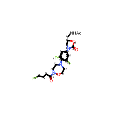 CC(=O)NC[C@H]1CN(c2cc(F)c(N3CCON(C(=O)CCCF)CC3)c(F)c2)C(=O)O1